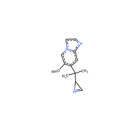 COc1cn2ccnc2cc1C(C)(C)C1C=N1